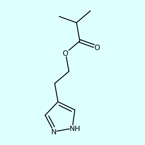 CC(C)C(=O)OCCc1cn[nH]c1